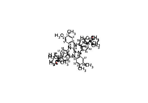 Cc1cc2c(cc1C)N(c1ccc(C(C)(C)C)cc1)/C(=C1\N(c3ccc(C(C)C)cc3)c3cc(C)c(C)cc3N1c1ccc(C(C)(C)C)cc1)N2c1ccc(C(C)C)cc1